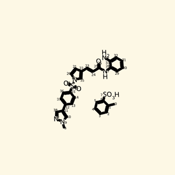 Cc1ccccc1S(=O)(=O)O.Cn1cc(-c2ccc(S(=O)(=O)n3ccc(C=CC(=O)Nc4ccccc4N)c3)cc2)cn1